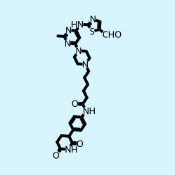 Cc1nc(Nc2ncc(C=O)s2)cc(N2CCN(CCCCCC(=O)Nc3ccc(C4CCC(=O)NC4=O)cc3)CC2)n1